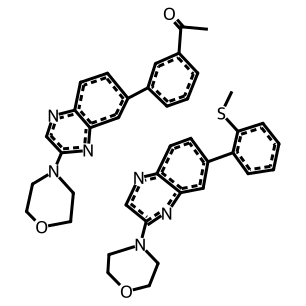 CC(=O)c1cccc(-c2ccc3ncc(N4CCOCC4)nc3c2)c1.CSc1ccccc1-c1ccc2ncc(N3CCOCC3)nc2c1